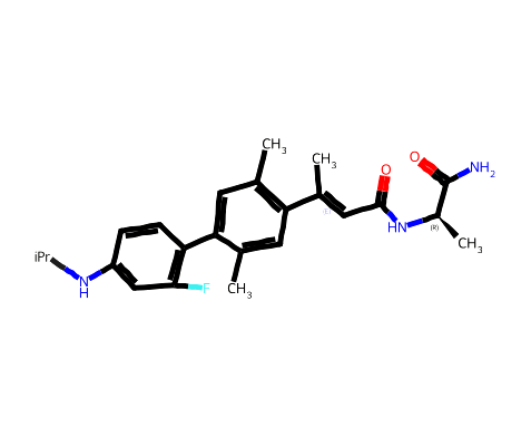 C/C(=C\C(=O)N[C@H](C)C(N)=O)c1cc(C)c(-c2ccc(NC(C)C)cc2F)cc1C